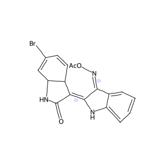 CC(=O)O/N=C1\C(=C2\C(=O)NC3C=C(Br)C=CC23)Nc2ccccc21